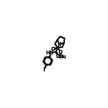 CC(C)(C)OC(=O)N1C2CCC1CN(C(=O)Nc1ccc(I)cc1)C2